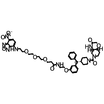 O=C(CCOCCOCCOCCNc1ccc([N+](=O)[O-])c2nonc12)NCCOc1cccc([C@H](c2ccccc2)C2CCN(C(=O)N3CC[C@@H]4OCC(=O)N[C@@H]4C3)CC2)c1